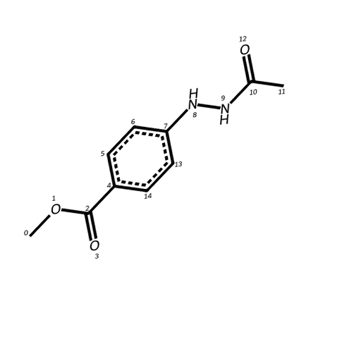 COC(=O)c1ccc(NNC(C)=O)cc1